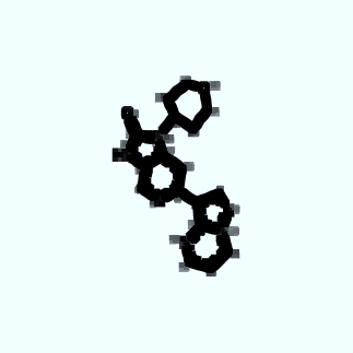 O=c1[nH]c2cnc(-c3cnn4cccnc34)cc2n1C1CCOCC1